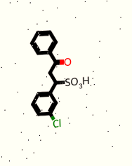 O=C(CC(c1cccc(Cl)c1)S(=O)(=O)O)c1ccccc1